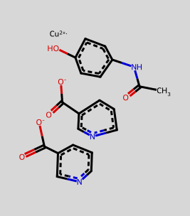 CC(=O)Nc1ccc(O)cc1.O=C([O-])c1cccnc1.O=C([O-])c1cccnc1.[Cu+2]